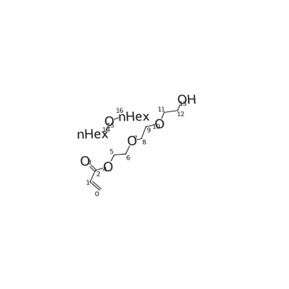 C=CC(=O)OCCOCCOCCO.CCCCCCOCCCCCC